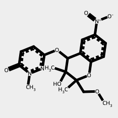 COCC1(C)Oc2ccc([N+](=O)[O-])cc2C(Oc2ccc(=O)n(C)n2)C1(C)O